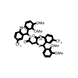 COc1cccc(C(OC(=O)CC2SC(c3cccc(OC)c3OC)c3cc(C(F)(F)F)ccc3NC2=O)c2cc(C(F)(F)F)ccc2N)c1OC